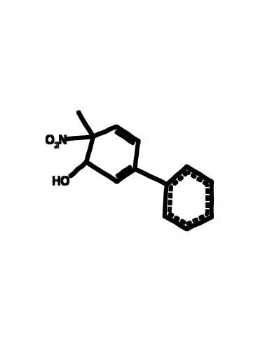 CC1([N+](=O)[O-])C=CC(c2ccccc2)=CC1O